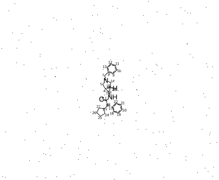 O=C(N[C@H]1C2CN(Cc3ccccc3)C[C@@H]21)[C@H](c1ccccc1)C1CCCC1